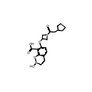 O=C(O)c1c(OC2CN(C(=O)CC3CCCC3)C2)ccc2c1OB(O)CC2